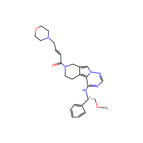 COC[C@@H](Nc1ncnn2cc3c(c12)CCN(C(=O)/C=C/CN1CCOCC1)C3)c1ccccc1